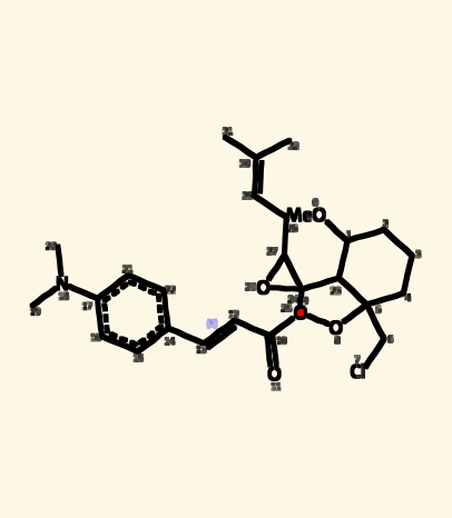 COC1CCCC(CCl)(OOC(=O)/C=C/c2ccc(N(C)C)cc2)C1C1(C)OC1CC=C(C)C